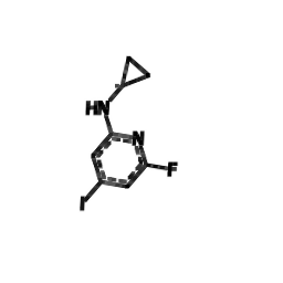 Fc1cc(I)cc(N[C]2CC2)n1